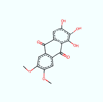 COc1cc2c(cc1OC)C(=O)c1c(cc(O)c(O)c1O)C2=O